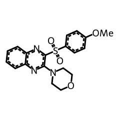 COc1ccc(S(=O)(=O)c2nc3ccccc3nc2N2CCOCC2)cc1